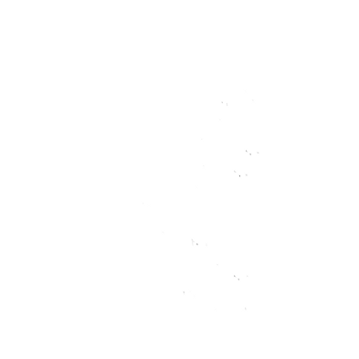 CC1=C(c2cc(C(=O)O)nn2C)CN(c2nccs2)CC1